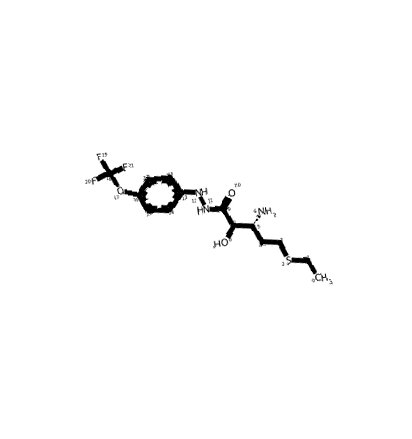 CCSCC[C@@H](N)C(O)C(=O)NNc1ccc(OC(F)(F)F)cc1